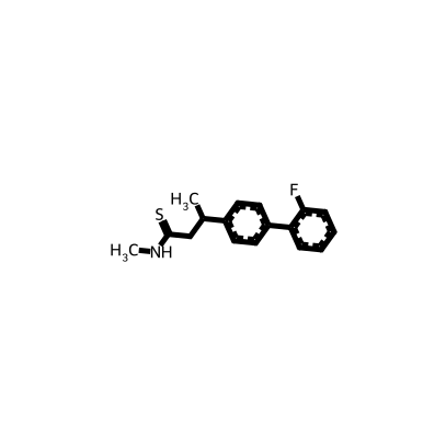 CNC(=S)CC(C)c1ccc(-c2ccccc2F)cc1